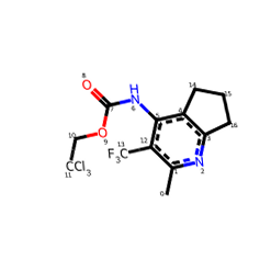 Cc1nc2c(c(NC(=O)OCC(Cl)(Cl)Cl)c1C(F)(F)F)CCC2